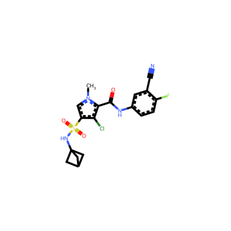 Cn1cc(S(=O)(=O)NC23CC(C2)C3)c(Cl)c1C(=O)Nc1ccc(F)c(C#N)c1